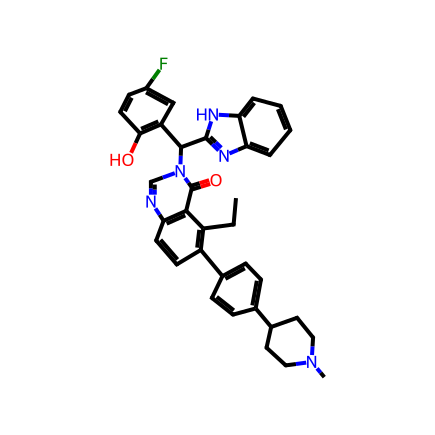 CCc1c(-c2ccc(C3CCN(C)CC3)cc2)ccc2ncn(C(c3nc4ccccc4[nH]3)c3cc(F)ccc3O)c(=O)c12